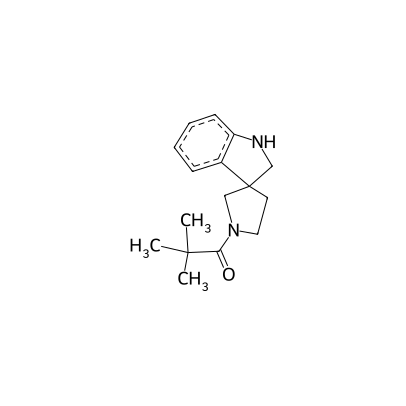 CC(C)(C)C(=O)N1CCC2(CNc3ccccc32)C1